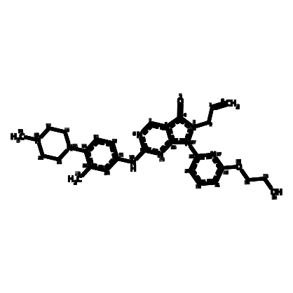 C=CCn1c(=O)c2cnc(Nc3ccc(N4CCN(C)CC4)c(C)c3)nc2n1-c1cccc(OCCO)n1